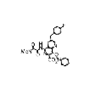 CNC(=O)C(=O)Nc1nc(C(=O)O)c(OCc2ccccc2)c2ncc(Cc3ccc(F)cc3)cc12